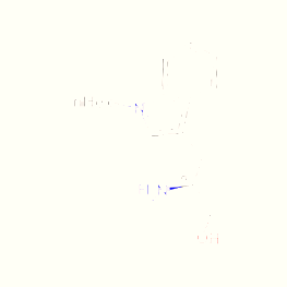 CCCCCCn1cc(C[C@H](N)CO)c2ccccc21